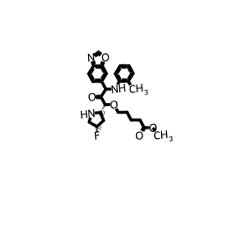 COC(=O)CCCCOC(C(=O)C(Nc1ccccc1C)c1ccc2ncoc2c1)[C@@H]1C[C@H](F)CN1